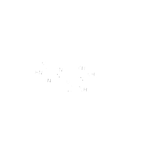 CCN(CC)[C@@H](C)C(=O)OCn1ncc2c(=O)[nH]cnc21